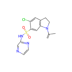 C=C(C)N1CCc2cc(Cl)c(S(=O)(=O)Nc3cnccn3)cc21